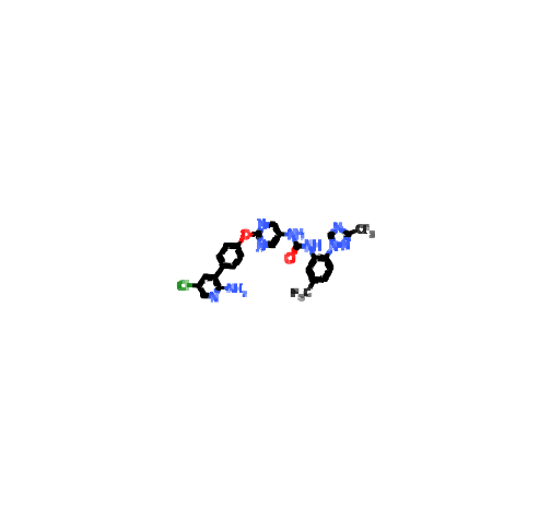 Nc1ncc(Cl)cc1-c1ccc(Oc2ncc(NC(=O)Nc3cc(C(F)(F)F)ccc3-n3cnc(C(F)(F)F)n3)cn2)cc1